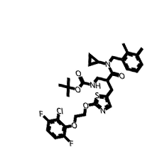 Cc1cccc(CN(C(=O)C(CNC(=O)OC(C)(C)C)Cc2cnc(OCCOc3c(F)ccc(F)c3Cl)s2)C2CC2)c1C